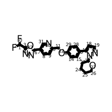 FC(F)c1nnc(-c2ccc(COc3ccc(-c4ccnn4C4CCCCO4)cc3)nc2)o1